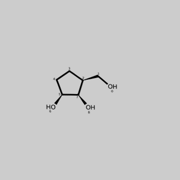 OC[C@@H]1C[CH][C@H](O)[C@@H]1O